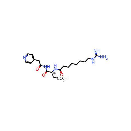 N=C(N)NCCCCCCCC(=O)N[C@@H](CC(=O)O)C(=O)NC(=O)Cc1ccncc1